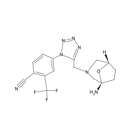 N#Cc1ccc(-n2nnnc2CN2C[C@@H]3CC[C@](N)(C2)O3)cc1C(F)(F)F